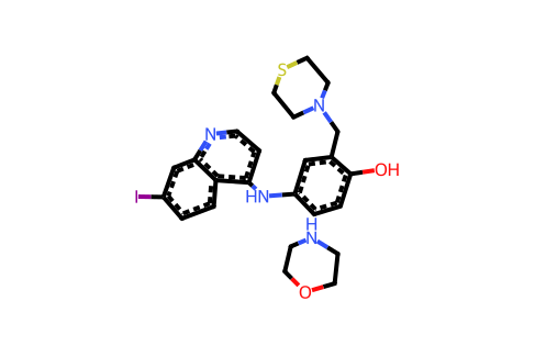 C1COCCN1.Oc1ccc(Nc2ccnc3cc(I)ccc23)cc1CN1CCSCC1